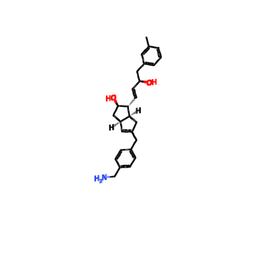 Cc1cccc(C[C@@H](O)/C=C/[C@@H]2[C@H]3CC(Cc4ccc(CN)cc4)=C[C@H]3C[C@H]2O)c1